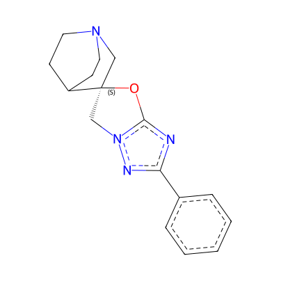 c1ccc(-c2nc3n(n2)C[C@]2(CN4CCC2CC4)O3)cc1